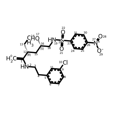 C=C(NCCc1cccc(Cl)c1)[C@H](CC)C[C@H](O)CNS(=O)(=O)c1ccc([N+](=O)[O-])cc1